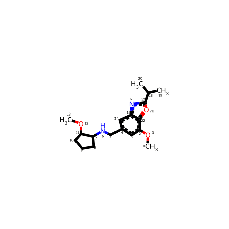 COc1cc(CNC2CCCC2OC)cc2nc(C(C)C)oc12